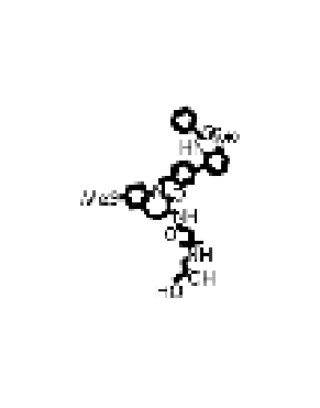 CSc1ccc2c(c1)CC[C@@H](NC(=O)CC(C)(C)NC[C@H](O)CO)C(=O)N2Cc1ccc(C2=CC=CC(=S(=O)=O)C2NC(=O)c2ccccc2)cc1